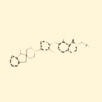 CC(C)(O)Cn1cnc2ccc(Sc3ncc(N4CCC5(CC4)Cc4ccccc4[C@H]5N)nc3N)c(Cl)c2c1=O